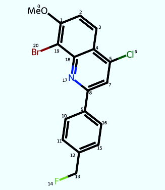 COc1ccc2c(Cl)cc(-c3ccc(CF)cc3)nc2c1Br